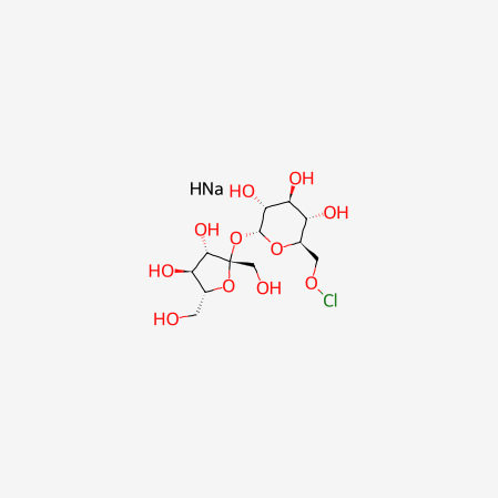 OC[C@H]1O[C@@](CO)(O[C@H]2O[C@H](COCl)[C@@H](O)[C@H](O)[C@H]2O)[C@@H](O)[C@@H]1O.[NaH]